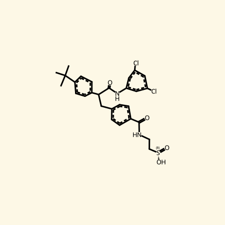 CC(C)(C)c1ccc(C(Cc2ccc(C(=O)NCC[S@](=O)O)cc2)C(=O)Nc2cc(Cl)cc(Cl)c2)cc1